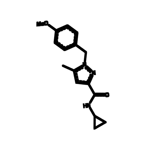 COc1ccc(Cn2nc(C(=O)NC3CC3)cc2C)cc1